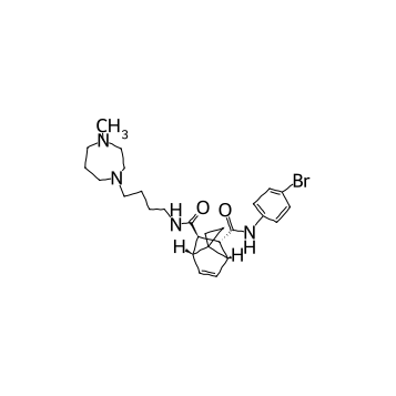 CN1CCCN(CCCCNC(=O)[C@H]2[C@H](C(=O)Nc3ccc(Br)cc3)[C@@H]3C=C[C@H]2C32CC2)CC1